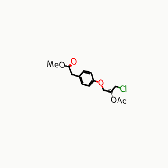 COC(=O)Cc1ccc(OC[C@H](CCl)OC(C)=O)cc1